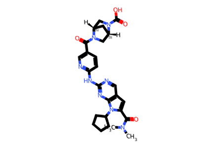 CN(C)C(=O)c1cc2cnc(Nc3ccc(C(=O)N4C[C@@H]5C[C@H]4CN5C(=O)O)cn3)nc2n1C1CCCC1